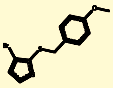 COc1ccc(CSc2sccc2Br)cc1